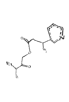 CCN(CC)C(=O)COC(=O)CC(N)c1cccnc1